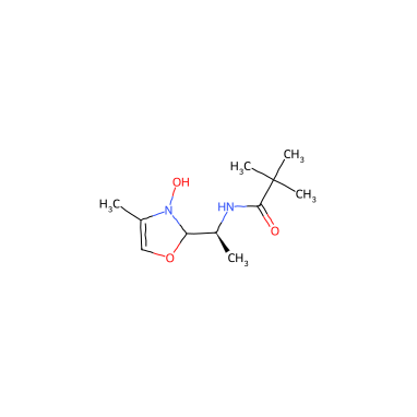 CC1=COC([C@H](C)NC(=O)C(C)(C)C)N1O